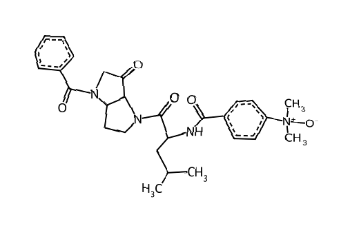 CC(C)CC(NC(=O)c1ccc([N+](C)(C)[O-])cc1)C(=O)N1CCC2C1C(=O)CN2C(=O)c1ccccc1